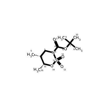 C[C@@H]1CN(C(=O)OC(C)(C)C)S(=O)(=O)O[C@@H]1C